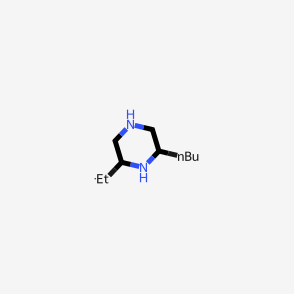 C[CH]C1CNCC(CCCC)N1